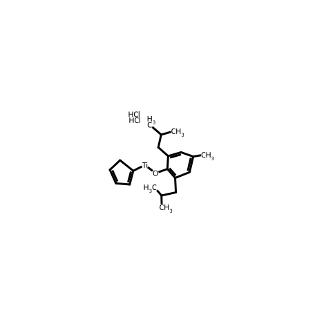 Cc1cc(CC(C)C)c([O][Ti][C]2=CC=CC2)c(CC(C)C)c1.Cl.Cl